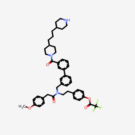 COc1ccc(CC(=O)N(CCc2ccc(OC(=O)C(F)(F)F)cc2)Cc2cccc(-c3cccc(C(=O)N4CCC(CCCC5CCNCC5)CC4)c3)c2)cc1